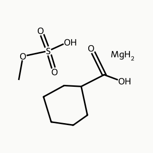 COS(=O)(=O)O.O=C(O)C1CCCCC1.[MgH2]